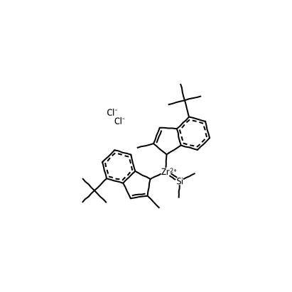 CC1=Cc2c(cccc2C(C)(C)C)[CH]1[Zr+2]([CH]1C(C)=Cc2c1cccc2C(C)(C)C)=[Si](C)C.[Cl-].[Cl-]